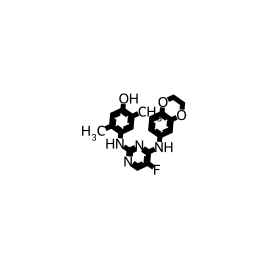 Cc1cc(Nc2ncc(F)c(Nc3ccc4c(c3)OCCO4)n2)c(C)cc1O